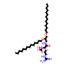 CCCCCCCCCCCCCCOCC(CNC(=O)[C@H](CCCNC(=N)N)NC(=O)O)OCCCCCCCCCCCCCC